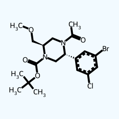 COC[C@H]1CN(C(C)=O)[C@H](c2cc(Cl)cc(Br)c2)CN1C(=O)OC(C)(C)C